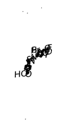 O=C(O)c1ccc(-c2csc(NCc3ccc(CP(=O)(OF)OF)c(Br)c3)n2)cc1